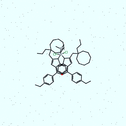 CCCC1(CC2=Cc3c(-c4ccc(CC)cc4)cccc3[CH]2[Zr]([Cl])([Cl])([CH]2C(CC3(CCC)CCCCCCC3)=Cc3c(-c4ccc(CC)cc4)cccc32)[SiH](C)C)CCCCCCC1